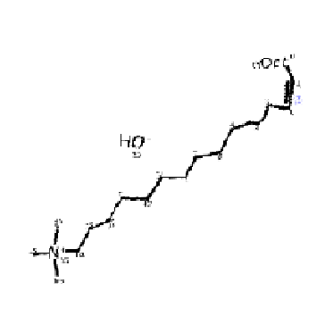 CCCCCCCC/C=C\CCCCCCCCCCCC[N+](C)(C)C.[OH-]